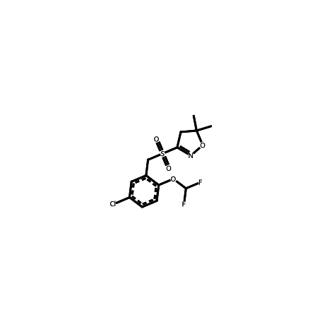 CC1(C)CC(S(=O)(=O)Cc2cc(Cl)ccc2OC(F)F)=NO1